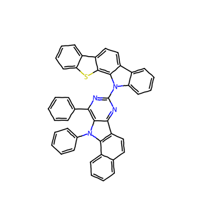 c1ccc(-c2nc(-n3c4ccccc4c4ccc5c6ccccc6sc5c43)nc3c4ccc5ccccc5c4n(-c4ccccc4)c23)cc1